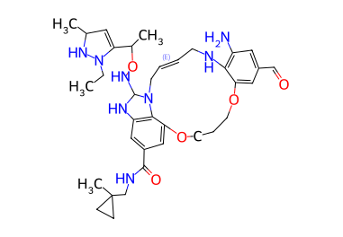 CCN1NC(C)C=C1C(C)ONC1Nc2cc(C(=O)NCC3(C)CC3)cc3c2N1C/C=C/CNc1c(N)cc(C=O)cc1OCCCO3